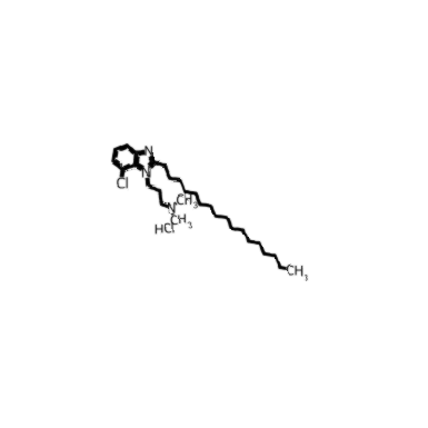 CCCCCCCCCCCCCCCCCc1nc2cccc(Cl)c2n1CCCN(C)C.Cl